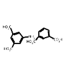 Nc1cc(C(=O)O)cc(C(=O)O)c1.O=C(O)c1cccc(C(=O)O)c1